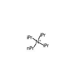 [CH2]CC[N+](C(C)C)(C(C)C)C(C)C